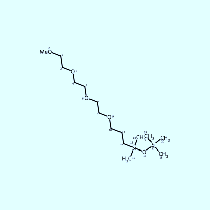 COCCOCCOCCOCCC[Si](C)(C)O[Si](C)(C)C